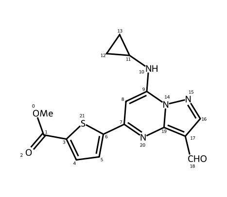 COC(=O)c1ccc(-c2cc(NC3CC3)n3ncc(C=O)c3n2)s1